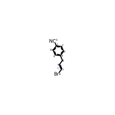 N#Cc1ccc(C/C=C/Br)cc1